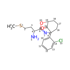 CSCCC(N)C1=NC2(c3ccccc3Cl)CCCC(O1)C2=O